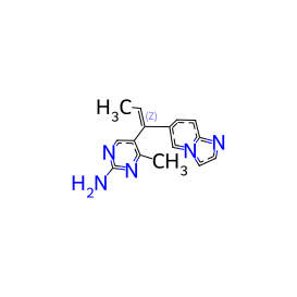 C/C=C(/c1ccc2nccn2c1)c1cnc(N)nc1C